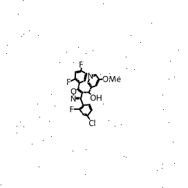 COc1cncc(C(O)c2c(-c3ccc(Cl)cc3F)noc2-c2ccc(F)cc2F)c1